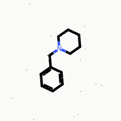 [CH](c1ccccc1)N1CCCCC1